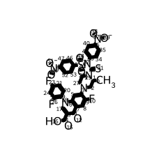 CC1CN(c2cc3c(cc2F)c(=O)c(C(=O)O)cn3-c2ccc(F)cc2F)CCN1C(=S)N(c1ccc([N+](=O)[O-])cc1)S(=O)(=O)c1ccc([N+](=O)[O-])cc1